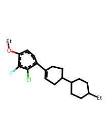 CCOc1ccc(C2=CCC(C3CCC(CC)CC3)CC2)c(Cl)c1F